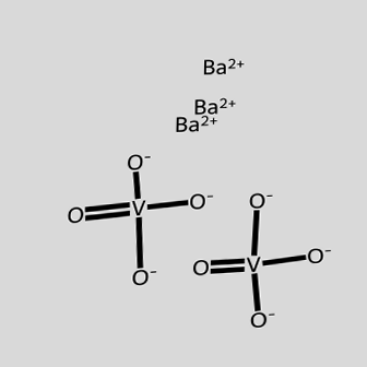 [Ba+2].[Ba+2].[Ba+2].[O]=[V]([O-])([O-])[O-].[O]=[V]([O-])([O-])[O-]